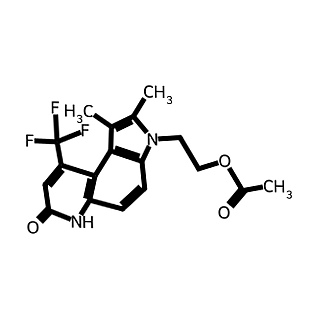 CC(=O)OCCn1c(C)c(C)c2c3c(C(F)(F)F)cc(=O)[nH]c3ccc21